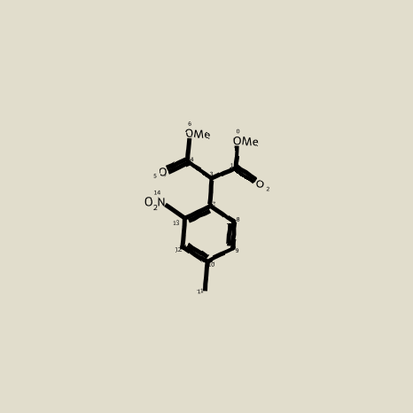 COC(=O)C(C(=O)OC)c1ccc(C)cc1[N+](=O)[O-]